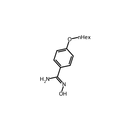 CCCCCCOc1ccc(/C(N)=N/O)cc1